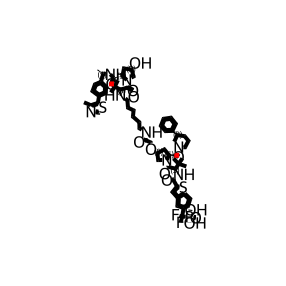 Cc1ncsc1-c1ccc([C@H](C)NC(=O)[C@@H]2C[C@@H](O)CN2C(=O)[C@@H](NC(=O)CCCCCNC(=O)CO[C@H]2C[C@@H](C(=O)N3CCC[C@H](c4ccccc4)C3)N(C(=O)[C@@H](NC(=O)c3cc4cc(C(F)(F)P(=O)(O)O)ccc4s3)C(C)(C)C)C2)C(C)(C)C)cc1